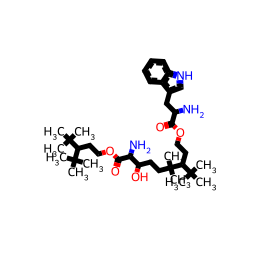 CC(C)(C)C(CCOC(=O)C(N)C(O)CCC(C)(C)C(CCOC(=O)C(N)Cc1c[nH]c2ccccc12)C(C)(C)C)C(C)(C)C